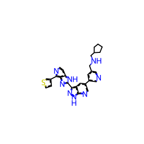 c1cc2[nH]c(-c3n[nH]c4ncc(-c5cncc(CNCC6CCCC6)c5)cc34)nc2c(-c2ccsc2)n1